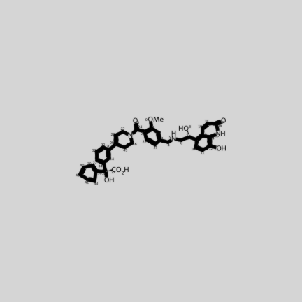 COc1cc(CNC[C@H](O)c2ccc(O)c3[nH]c(=O)ccc23)ccc1C(=O)N1CC=C(c2cccc([C@](O)(C(=O)O)c3ccccc3)c2)CC1